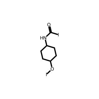 O=C(I)NC1CCC(OI)CC1